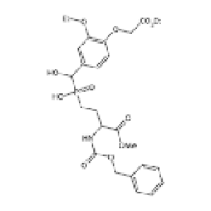 CCOC(=O)COc1ccc(C(O)P(=O)(O)CCC(NC(=O)OCc2ccccc2)C(=O)OC)cc1OCC